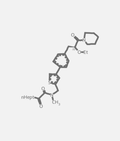 CCCCCCCC(=O)C(=O)N(C)Cc1cc(-c2ccc(C[C@H](OCC)C(=O)N3CCCCC3)cc2)cs1